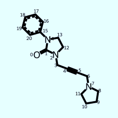 O=C1N(CC#CCN2CCCC2)CCN1c1ccccc1